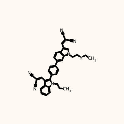 CCCn1c(-c2ccc(-c3ccc4c(C=C(C#N)C#N)cn(CCSCC)c4c3)cc2)c(C=C(C#N)C#N)c2ccccc21